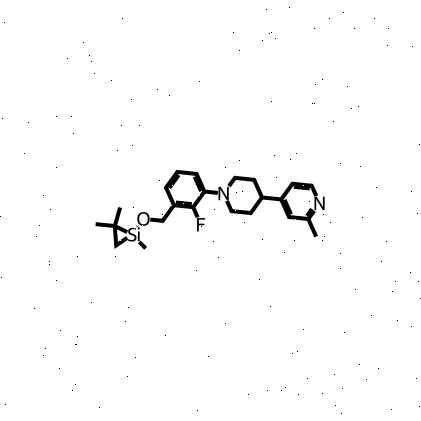 Cc1cc(C2CCN(c3cccc(CO[Si]4(C)CC4(C)C)c3F)CC2)ccn1